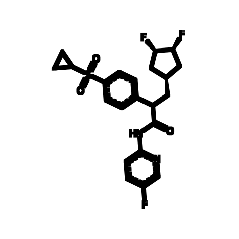 O=C(Nc1ccc(F)cn1)C(C[C@H]1C[C@@H](F)[C@@H](F)C1)c1ccc(S(=O)(=O)C2CC2)cc1